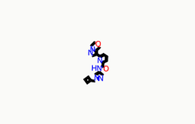 O=C(Nc1cnn(CC2CCC2)c1)c1cccc(-c2cnn3c2COCC3)n1